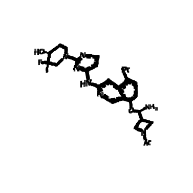 CC(=O)N1CC([C@H](N)Oc2ccc(C(C)C)c3cc(Nc4ccnc(N5CC[C@@H](O)[C@@](C)(F)C5)n4)ncc23)C1